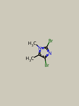 Cc1c(Br)nc(Br)n1C